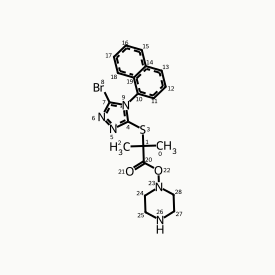 CC(C)(Sc1nnc(Br)n1-c1cccc2ccccc12)C(=O)ON1CCNCC1